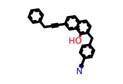 N#Cc1ccc(Cc2ccc3ccc(C#CCc4ccccc4)cc3c2O)cc1